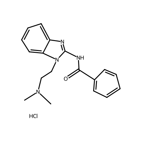 CN(C)CCn1c(NC(=O)c2ccccc2)nc2ccccc21.Cl